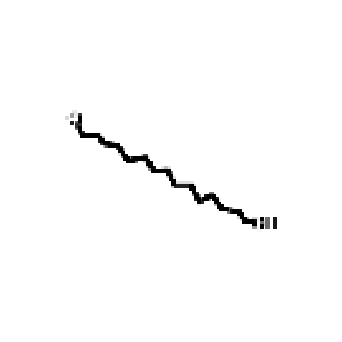 [O]CCCCCCCCCCCCCCCO